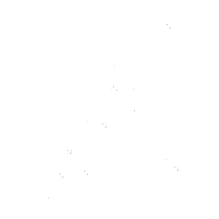 CCN(CC)c1ncc(C(c2ccc(C#N)cc2)N2CCC(NC(=O)c3ccc(C#N)cc3F)C2)cn1